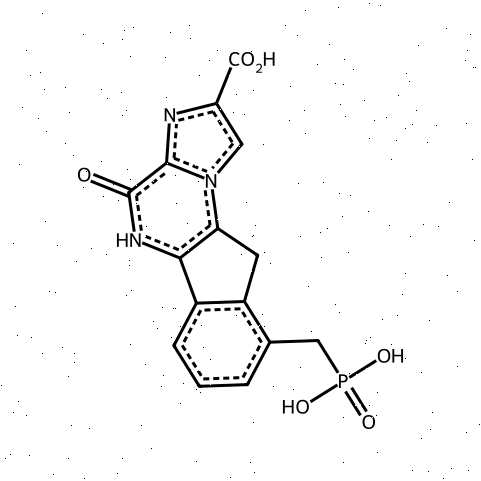 O=C(O)c1cn2c3c([nH]c(=O)c2n1)-c1cccc(CP(=O)(O)O)c1C3